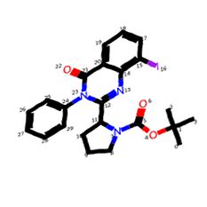 CC(C)(C)OC(=O)N1CCCC1c1nc2c(I)cccc2c(=O)n1-c1ccccc1